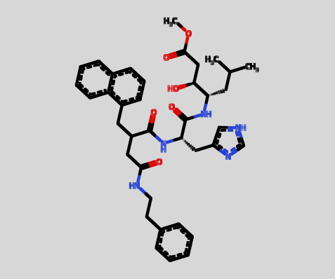 COC(=O)C[C@H](O)[C@H](CC(C)C)NC(=O)[C@H](Cc1c[nH]cn1)NC(=O)C(CC(=O)NCCc1ccccc1)Cc1cccc2ccccc12